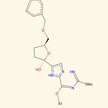 CCO/C(=N/C(=N)SC)c1ncc([C@@]2(O)CC[C@@H](COCc3ccccc3)O2)[nH]1